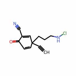 C#CC1(CCCNCl)C=CC(=O)C(C#N)=C1